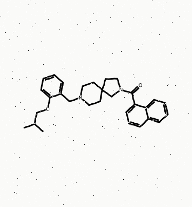 CC(C)COc1ccccc1CN1CCC2(CC1)CCN(C(=O)c1cccc3ccccc13)C2